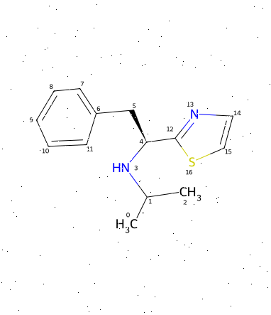 CC(C)N[C@@H](Cc1ccccc1)c1nccs1